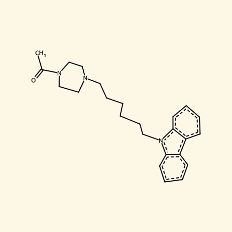 CC(=O)N1CCN(CCCCCCn2c3ccccc3c3ccccc32)CC1